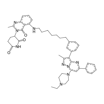 CCN1CCN(c2cc(-c3ccccc3)nc3c(-c4cccc(CCCCCCCNc5cccc6nc(C)n(C7CCC(=O)NC7=O)c(=O)c56)c4)c(C)nn23)CC1